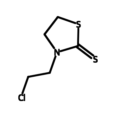 S=C1SCCN1CCCl